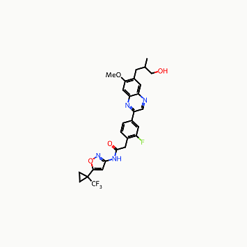 COc1cc2nc(-c3ccc(CC(=O)Nc4cc(C5(C(F)(F)F)CC5)on4)c(F)c3)cnc2cc1CC(C)CO